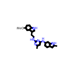 COc1ccc2[nH]cc(CCNc3nc(C)cc(Nc4ccc5cc(C)[nH]c5c4)n3)c2c1